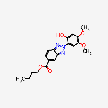 CCCCOC(=O)c1ccc2nn(-c3cc(OC)c(OC)cc3O)nc2c1